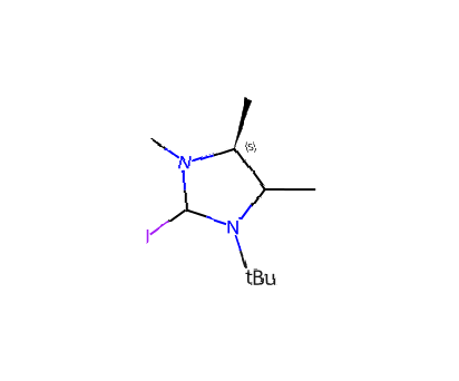 CC1[C@H](C)N(C)C(I)N1C(C)(C)C